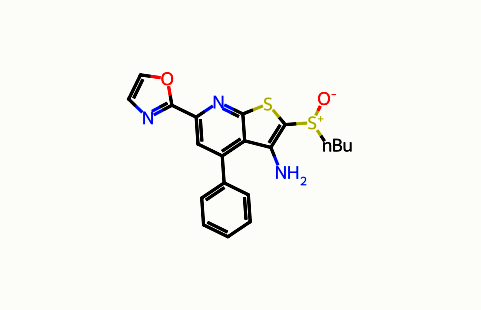 CCCC[S+]([O-])c1sc2nc(-c3ncco3)cc(-c3ccccc3)c2c1N